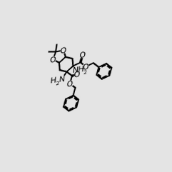 CC1(C)OC2CC(N)(C(=O)OCc3ccccc3)C(N)(C(=O)OCc3ccccc3)CC2O1